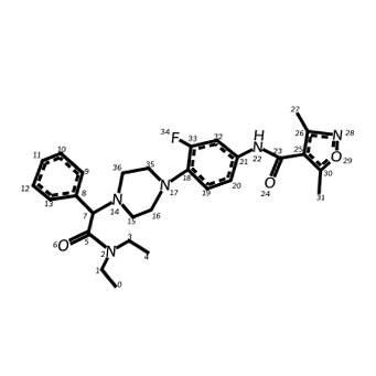 CCN(CC)C(=O)C(c1ccccc1)N1CCN(c2ccc(NC(=O)c3c(C)noc3C)cc2F)CC1